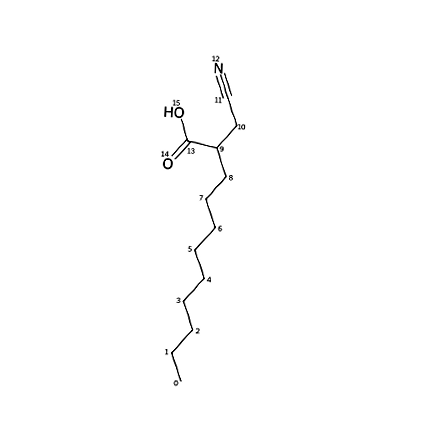 CCCCCCCCCC(CC#N)C(=O)O